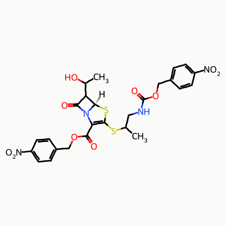 CC(CNC(=O)OCc1ccc([N+](=O)[O-])cc1)SC1=C(C(=O)OCc2ccc([N+](=O)[O-])cc2)N2C(=O)C(C(C)O)[C@H]2S1